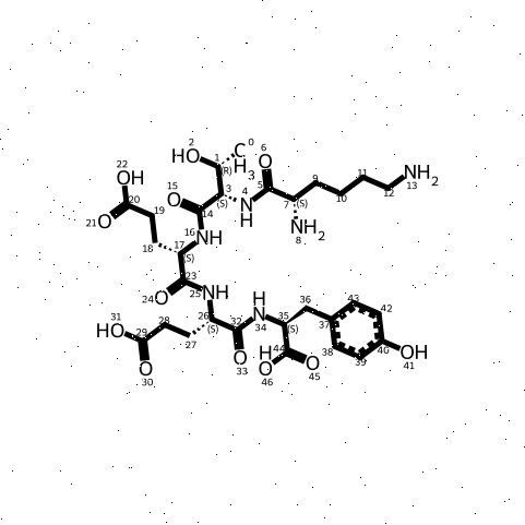 C[C@@H](O)[C@H](NC(=O)[C@@H](N)CCCCN)C(=O)N[C@@H](CCC(=O)O)C(=O)N[C@@H](CCC(=O)O)C(=O)N[C@@H](Cc1ccc(O)cc1)C(=O)O